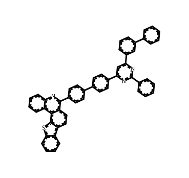 c1ccc(-c2cccc(-c3cc(-c4ccc(-c5ccc(-c6nc7ccccc7c7c6ccc6c8ccccc8sc67)cc5)cc4)nc(-c4ccccc4)n3)c2)cc1